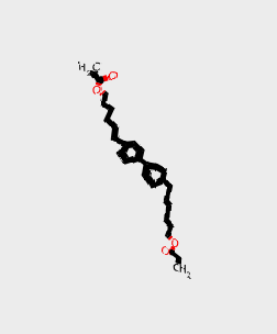 C=CC(=O)OCCCCCCc1ccc(-c2ccc(CCCCCCOC(=O)C=C)cc2)cc1